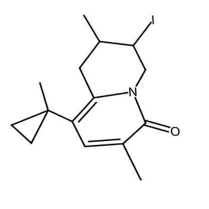 Cc1cc(C2(C)CC2)c2n(c1=O)CC(I)C(C)C2